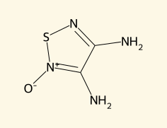 Nc1ns[n+]([O-])c1N